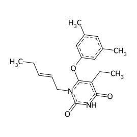 CC/C=C/Cn1c(Oc2cc(C)cc(C)c2)c(CC)c(=O)[nH]c1=O